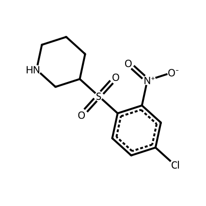 O=[N+]([O-])c1cc(Cl)ccc1S(=O)(=O)C1CCCNC1